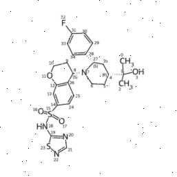 CC(C)(O)[C@@H]1CCN([C@H]2CCOc3cc(S(=O)(=O)Nc4ncns4)ccc32)[C@H](c2ccc(F)cc2)C1